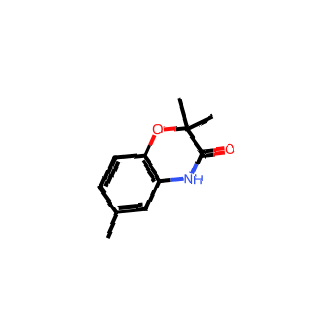 Cc1ccc2c(c1)NC(=O)C(C)(C)O2